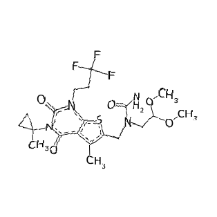 COC(CN(Cc1sc2c(c1C)c(=O)n(C1(C)CC1)c(=O)n2CCC(F)(F)F)C(N)=O)OC